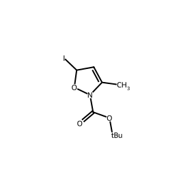 CC1=CC(I)ON1C(=O)OC(C)(C)C